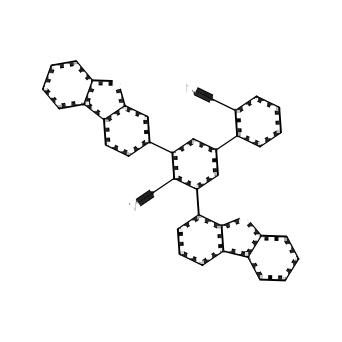 N#Cc1ccccc1-c1cc(-c2ccc3c(c2)sc2ccccc23)c(C#N)c(-c2cccc3c2sc2ccccc23)c1